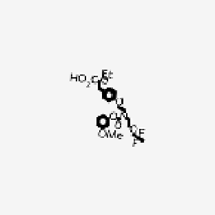 CCOC(Cc1ccc(OCCN(CCOCC(C)(F)F)C(=O)Oc2cccc(OC)c2)cc1)C(=O)O